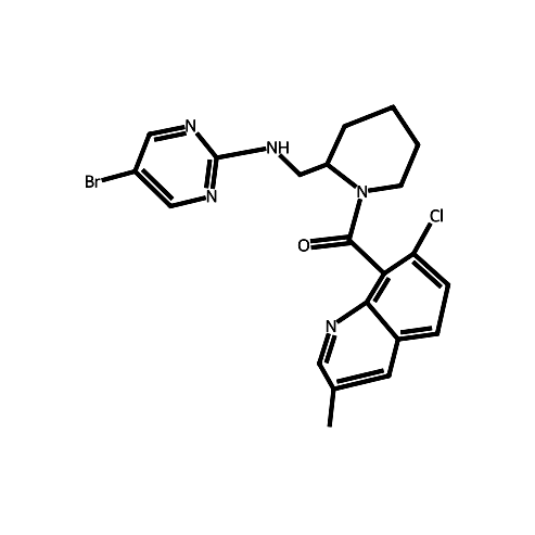 Cc1cnc2c(C(=O)N3CCCCC3CNc3ncc(Br)cn3)c(Cl)ccc2c1